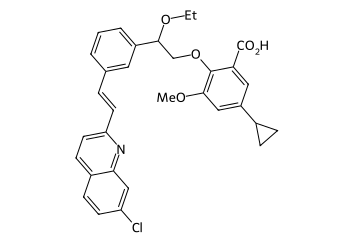 CCOC(COc1c(OC)cc(C2CC2)cc1C(=O)O)c1cccc(/C=C/c2ccc3ccc(Cl)cc3n2)c1